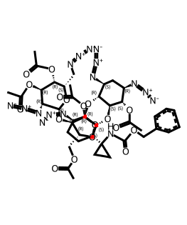 CC(=O)OC[C@H]1O[C@@H](O[C@@H]2[C@@H](OC(C)=O)[C@H](N=[N+]=[N-])C[C@H](N=[N+]=[N-])[C@H]2O[C@H]2O[C@H](C3(NC(=O)OCc4ccccc4)CC3)CC[C@H]2N=[N+]=[N-])[C@H](OC(C)=O)[C@@H]1O[C@H]1O[C@@H](CN=[N+]=[N-])[C@@H](OC(C)=O)[C@H](OC(C)=O)[C@H]1N=[N+]=[N-]